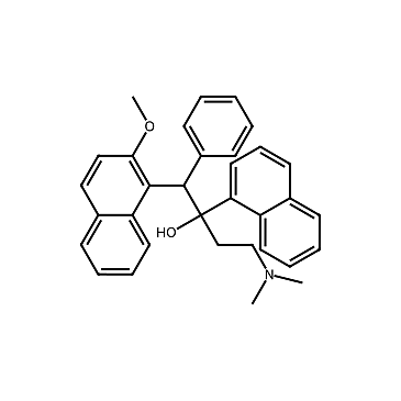 COc1ccc2ccccc2c1C(c1ccccc1)C(O)(CCN(C)C)c1cccc2ccccc12